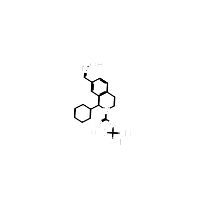 CC(C)(C)OC(=O)N1CCc2ccc(/C=N\O)cc2C1C1CCCCC1